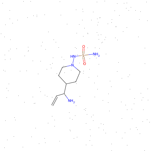 C=CC(N)C1CCN(NS(N)(=O)=O)CC1